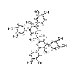 CC(C)(c1cc(-c2ccc(O)c(O)c2)c(O)c(-c2ccc(O)c(O)c2)c1)c1cc(-c2ccc(O)c(O)c2)c(O)c(-c2ccc(O)c(O)c2)c1